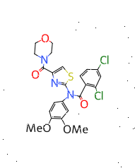 COc1ccc(N(C(=O)c2ccc(Cl)cc2Cl)c2nc(C(=O)N3CCOCC3)cs2)cc1OC